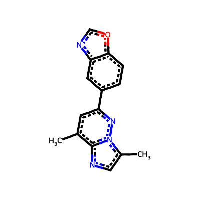 Cc1cc(-c2ccc3ocnc3c2)nn2c(C)cnc12